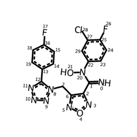 N=C(c1nonc1Cn1nnnc1-c1ccc(F)cc1)N(O)c1ccc(F)c(Cl)c1